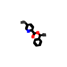 CCCc1ccc(C(=O)OC(CC)c2ccccc2)nc1